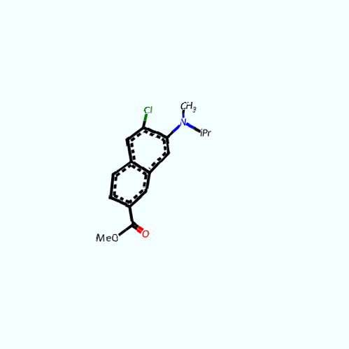 COC(=O)c1ccc2cc(Cl)c(N(C)C(C)C)cc2c1